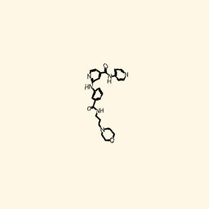 O=C(NCCCN1CCOCC1)c1cccc(Nc2cc(C(=O)Nc3ccncc3)ccn2)c1